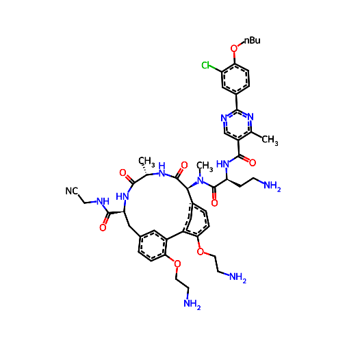 CCCCOc1ccc(-c2ncc(C(=O)N[C@@H](CCN)C(=O)N(C)[C@@H]3C(=O)N[C@@H](C)C(=O)N[C@H](C(=O)NCC#N)Cc4ccc(OCCN)c(c4)-c4cc3ccc4OCCN)c(C)n2)cc1Cl